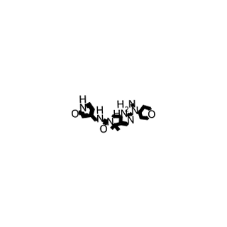 CC1(C)C2=CN=C(N(N)C3CCOCC3)NC2CN1C(=O)NCc1cc[nH]c(=O)c1